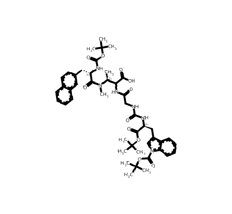 C[C@@H](C(NC(=O)CNC(=O)N[C@@H](Cc1cn(C(=O)OC(C)(C)C)c2ccccc12)C(=O)OC(C)(C)C)C(=O)O)N(C)C(=O)[C@H](Cc1ccc2ccccc2c1)NC(=O)OC(C)(C)C